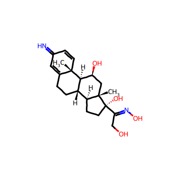 C[C@]12C=CC(=N)C=C1CC[C@@H]1[C@@H]2[C@@H](O)C[C@@]2(C)[C@H]1CC[C@]2(O)/C(CO)=N/O